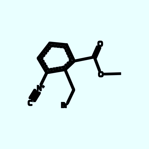 [C-]#[N+]c1cccc(C(=O)OC)c1CBr